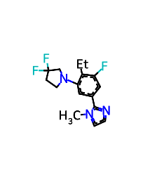 CCc1c(F)cc(-c2nccn2C)cc1N1CCC(F)(F)C1